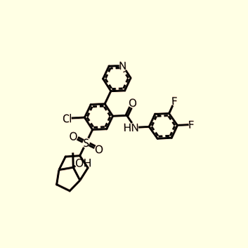 CC1(O)C2CCC1CC(S(=O)(=O)c1cc(C(=O)Nc3ccc(F)c(F)c3)c(-c3ccncc3)cc1Cl)C2